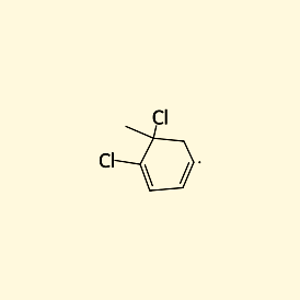 CC1(Cl)C[C]=CC=C1Cl